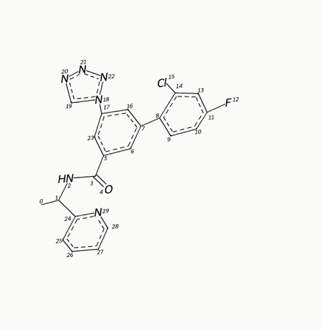 CC(NC(=O)c1cc(-c2ccc(F)cc2Cl)cc(-n2cnnn2)c1)c1ccccn1